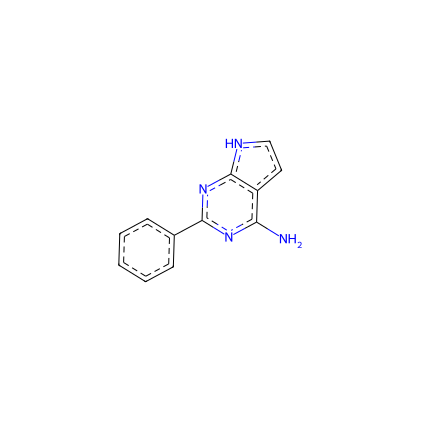 Nc1nc(-c2ccccc2)nc2[nH]ccc12